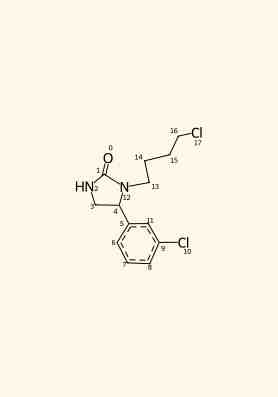 O=C1NCC(c2cccc(Cl)c2)N1CCCCCl